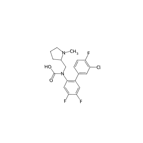 CN1CCCC1CN(C(=O)O)c1cc(F)c(F)cc1-c1ccc(F)c(Cl)c1